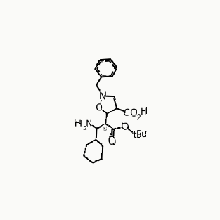 CC(C)(C)OC(=O)[C@@H](C(N)C1CCCCC1)C1ON(Cc2ccccc2)CC1C(=O)O